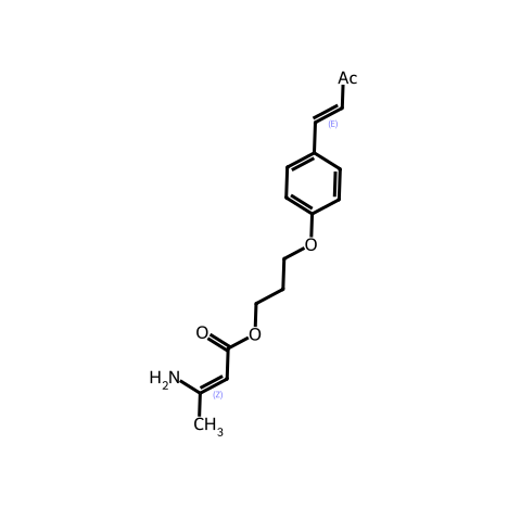 CC(=O)/C=C/c1ccc(OCCCOC(=O)/C=C(/C)N)cc1